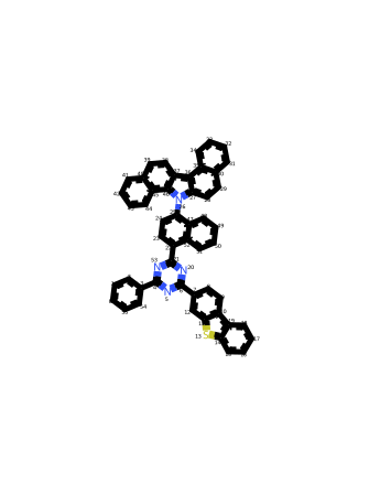 c1ccc(-c2nc(-c3ccc4c(c3)sc3ccccc34)nc(-c3ccc(-n4c5ccc6ccccc6c5c5ccc6ccccc6c54)c4ccccc34)n2)cc1